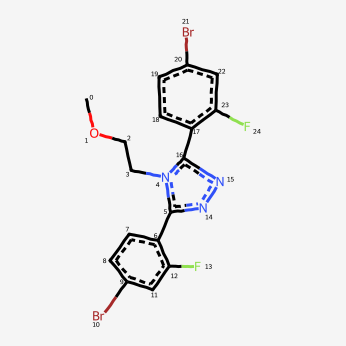 COCCn1c(-c2ccc(Br)cc2F)nnc1-c1ccc(Br)cc1F